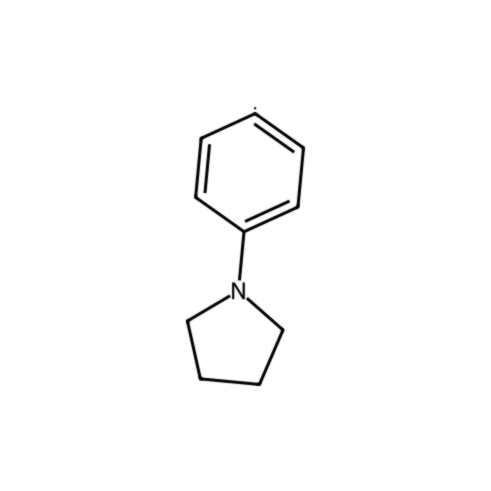 [c]1ccc(N2CCCC2)cc1